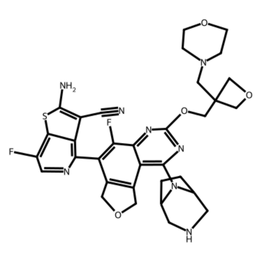 N#Cc1c(N)sc2c(F)cnc(-c3c4c(c5c(N6C7CCC6CNC7)nc(OCC6(CN7CCOCC7)COC6)nc5c3F)COC4)c12